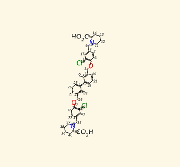 Cc1c(COc2ccc(CN3CCCC[C@H]3C(=O)O)cc2Cl)cccc1-c1cccc(COc2ccc(CN3CCCC[C@H]3C(=O)O)cc2Cl)c1C